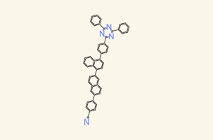 N#Cc1ccc(-c2ccc3cc(-c4ccc(-c5ccc(-c6nc(-c7ccccc7)nc(-c7ccccc7)n6)cc5)c5ccccc45)ccc3c2)cc1